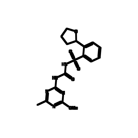 COc1nc(C)nc(NC(=O)NS(=O)(=O)c2ccccc2C2CCCO2)n1